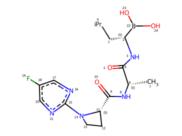 CC(C)C[C@@H](NC(=O)[C@H](C)NC(=O)[C@@H]1CCN1c1ncc(F)cn1)B(O)O